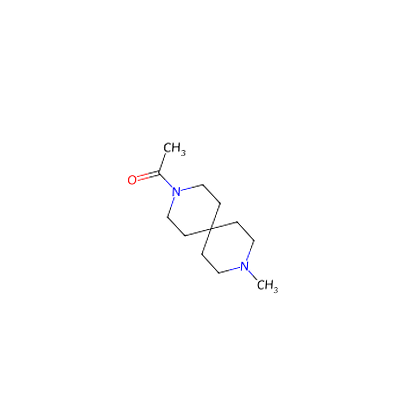 CC(=O)N1CCC2(CCN(C)CC2)CC1